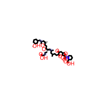 COC1CCCC(/C=C(\C)C[C@H](C)C(O)CC(=O)[C@H](/C=C(/C)CC(C)CCC2OC(O)(C(=O)C(=O)N3CCCCC3C(=O)O)C(C)CC2OC)C/C=C/C(=O)O)C1